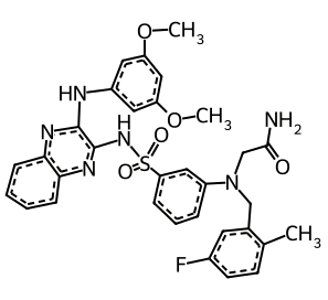 COc1cc(Nc2nc3ccccc3nc2NS(=O)(=O)c2cccc(N(CC(N)=O)Cc3cc(F)ccc3C)c2)cc(OC)c1